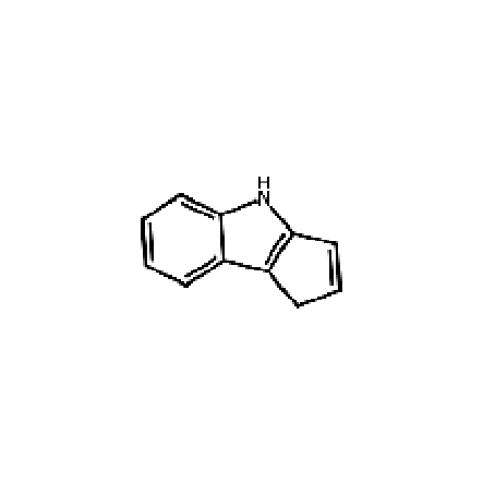 C1=Cc2[nH]c3ccccc3c2C1